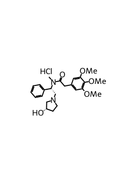 COc1cc(CC(=O)N(C)[C@H](CN2CC[C@H](O)C2)c2ccccc2)cc(OC)c1OC.Cl